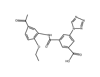 CCOc1ccc(C(C)=O)cc1NC(=O)c1cc(C(=O)O)cc(-n2cnnn2)c1